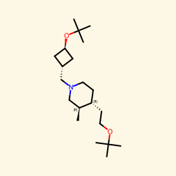 C[C@H]1CN(C[C@H]2C[C@H](OC(C)(C)C)C2)CC[C@@H]1CCOC(C)(C)C